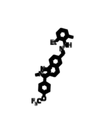 CCc1cccc(C)c1N/N=C/c1ccc2c(ccc3c(-c4ccc(OC(F)(F)F)cc4)n(C)nc32)c1